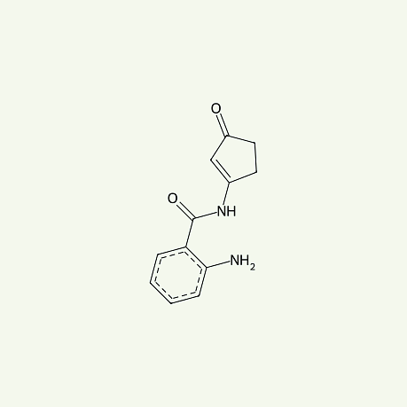 Nc1ccccc1C(=O)NC1=CC(=O)CC1